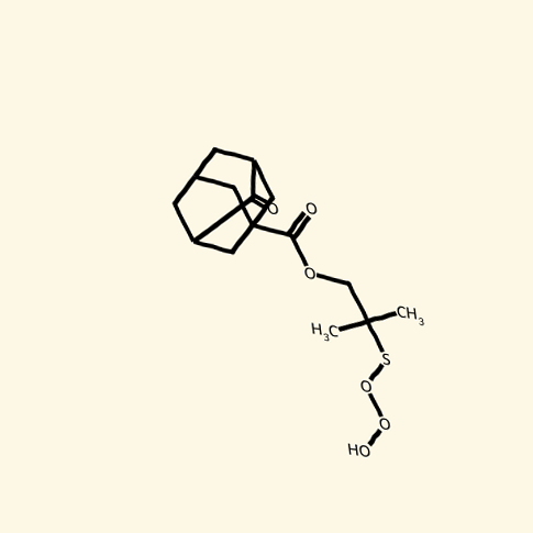 CC(C)(COC(=O)C12CC3CC(C1)C(=O)C(C3)C2)SOOO